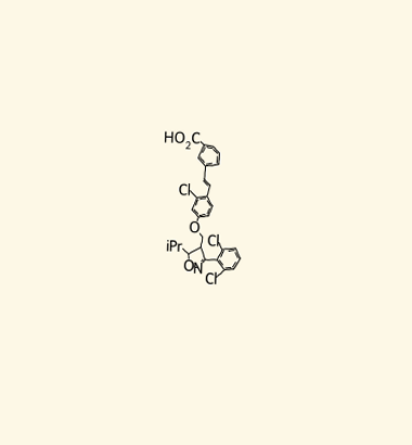 CC(C)C1ON=C(c2c(Cl)cccc2Cl)C1COc1ccc(/C=C/c2cccc(C(=O)O)c2)c(Cl)c1